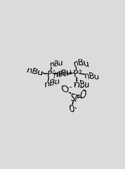 CCCC[P+](CCCC)(CCCC)CCCC.CCCC[P+](CCCC)(CCCC)CCCC.O=[Si]([O-])[O-]